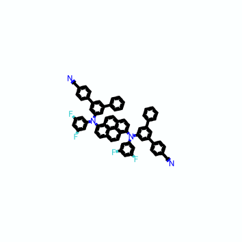 N#Cc1ccc(-c2cc(-c3ccccc3)cc(N(c3cc(F)cc(F)c3)c3ccc4ccc5c(N(c6cc(F)cc(F)c6)c6cc(-c7ccccc7)cc(-c7ccc(C#N)cc7)c6)ccc6ccc3c4c65)c2)cc1